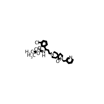 CC(C)(C)OC(=O)NC(CCN1CCC2(CC1)CCN(Cc1cccnc1)C2=O)c1cccc(Cl)c1